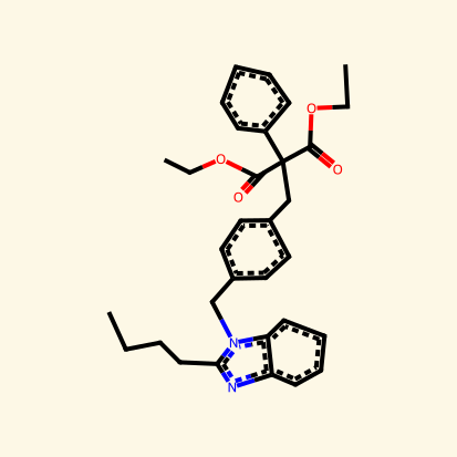 CCCCc1nc2ccccc2n1Cc1ccc(CC(C(=O)OCC)(C(=O)OCC)c2ccccc2)cc1